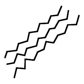 CCCCCCCCCCCC.CCCCCCCCCCCCC.CCCCCCCCCCCCCC